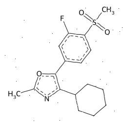 Cc1nc(C2CCCCC2)c(-c2ccc(S(C)(=O)=O)c(F)c2)o1